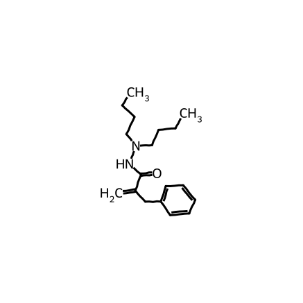 C=C(Cc1ccccc1)C(=O)NN(CCCC)CCCC